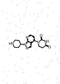 O=C1CCN(c2ccnc3c2cnn3C2CCNCC2)C(=O)N1